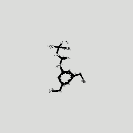 CC(C)(C)OC(=O)Nc1cc(CBr)cc(CBr)c1